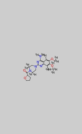 [2H]c1c(OC([2H])([2H])[2H])c(OC([2H])([2H])[2H])c([2H])c2c(N([2H])[2H])nc(N3CC([2H])([2H])N(C(=O)C4CCCO4)C([2H])([2H])C3)nc12